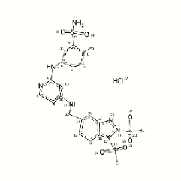 Cc1ccc(Nc2nccc(NCc3ccc4c(S(C)(=O)=O)n(S(C)(=O)=O)nc4c3)n2)cc1S(N)(=O)=O.Cl